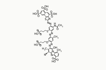 CC(=O)Nc1cc(N=Nc2cc(OCCCS(=O)(=O)O)c(N=Nc3c(C)c(C#N)c4nc5c(S(=O)(=O)O)ccc(C)c5n4c3O)cc2C)c(SCCCS(=O)(=O)O)cc1N=Nc1nc2c(S(=O)(=O)O)cc3c(S(=O)(=O)O)cc(S(=O)(=O)O)cc3c2s1